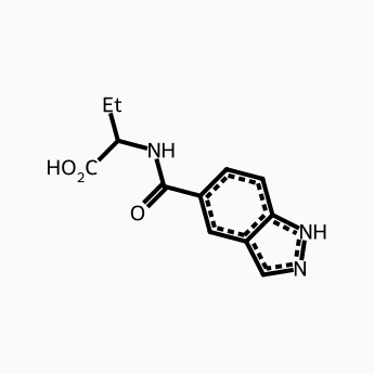 CCC(NC(=O)c1ccc2[nH]ncc2c1)C(=O)O